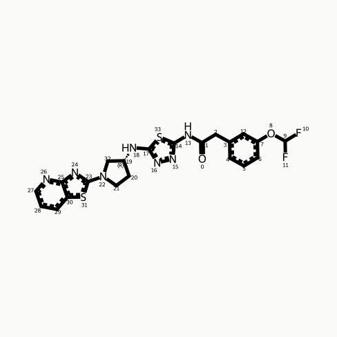 O=C(Cc1cccc(OC(F)F)c1)Nc1nnc(N[C@@H]2CCN(c3nc4ncccc4s3)C2)s1